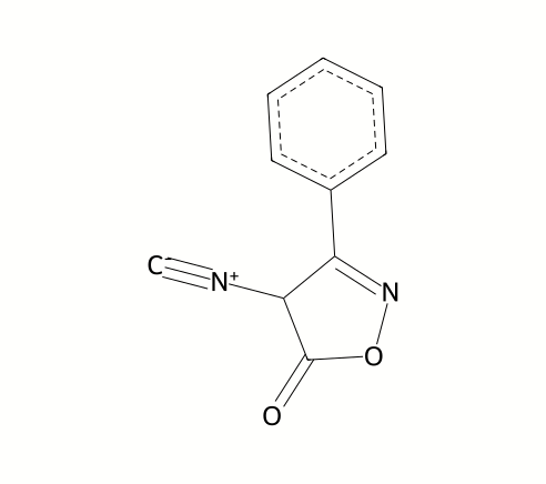 [C-]#[N+]C1C(=O)ON=C1c1ccccc1